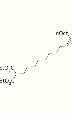 CCCCCCCC/C=C\CCCCCCCCC(C(=O)OCC)C(=O)OCC